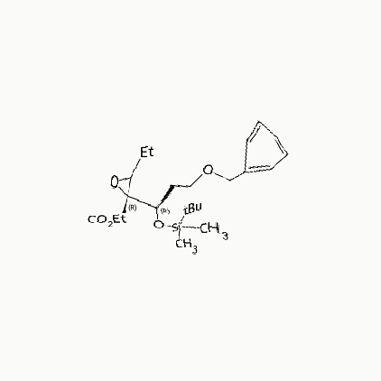 CCOC(=O)[C@@]1([C@@H](CCOCc2ccccc2)O[Si](C)(C)C(C)(C)C)OC1CC